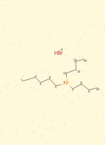 Br.CCCCCP(CCCC)CCCC